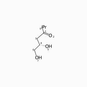 CC(C)C(=O)C[C@H](O)CO